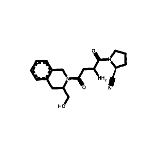 N#C[C@@H]1CCCN1C(=O)C(N)CC(=O)N1Cc2ccccc2CC1CO